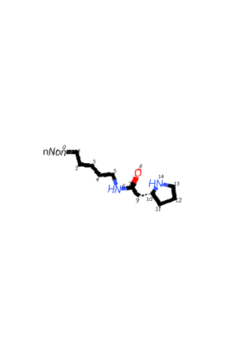 CCCCCCCCCCCCCCNC(=O)C[C@H]1CCCN1